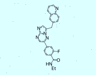 CCNC(=O)c1ccc(-c2cnc3ncc(Cc4ccc5ncccc5c4)n3n2)cc1F